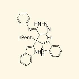 CCCCCC(c1cc2ccccc2[nH]1)(c1cc2ccccc2[nH]1)c1c(CC)nn[nH]c1=Nc1ccccc1